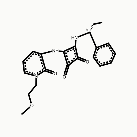 CC[C@@H](Nc1c(Nc2cccn(CCOC)c2=O)c(=O)c1=O)c1ccccc1